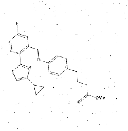 COC(=O)CCCc1ccc(OCc2cc(F)ccc2-c2nc(C3CC3)cs2)cc1